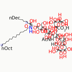 CCCCCCCC/C=C\CCCCCCCCCCCCCC(=O)N[C@@H](CO[C@@H]1OC(CO)[C@@H](O[C@@H]2OC(CO)[C@H](O[C@@H]3OC(CO[C@]4(C(=O)O)CC(O)[C@@H](O)C([C@H](O)[C@H](O)CO)O4)[C@H](O)[C@H](O[C@@H]4OC(CO)[C@H](O)[C@H](O[C@]5(C(=O)O)CC(O)[C@@H](O)C([C@H](O)[C@H](O)CO)O5)C4O)C3NC(C)=O)[C@H](O)C2O)[C@H](O)C1O)[C@H](O)/C=C/CCCCCCCCCCCCC